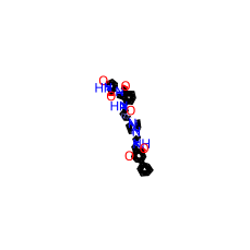 O=C(/C=C\CN1CCN(CCNC=C2C(=O)CC(c3ccccc3)CC2=O)CC1)Nc1cccc2c1CN(C1CCC(=O)NC1=O)C2=O